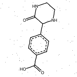 O=C(O)c1ccc(C2NCCNC2=O)cc1